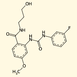 COc1ccc(C(=O)NCCCO)c(NC(=O)Nc2cccc(F)c2)c1